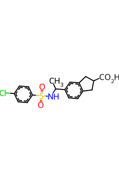 CC(NS(=O)(=O)c1ccc(Cl)cc1)c1ccc2c(c1)CC(C(=O)O)C2